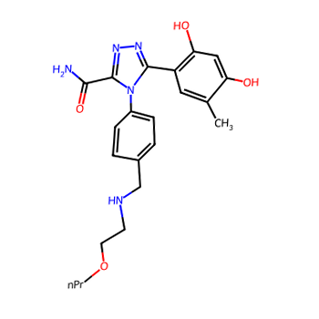 CCCOCCNCc1ccc(-n2c(C(N)=O)nnc2-c2cc(C)c(O)cc2O)cc1